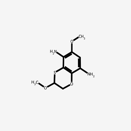 COc1cc(N)c2c(c1N)SC(OC)CO2